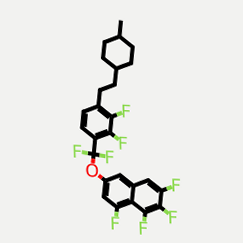 CC1CCC(CCc2ccc(C(F)(F)Oc3cc(F)c4c(F)c(F)c(F)cc4c3)c(F)c2F)CC1